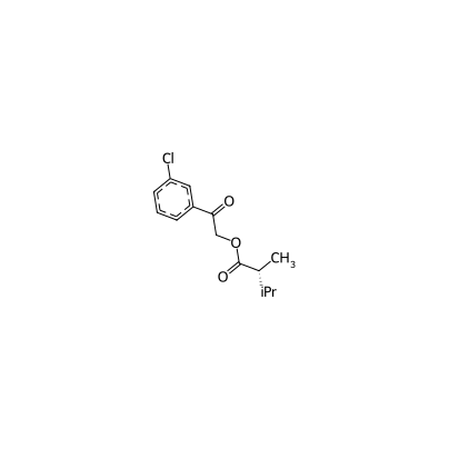 CC(C)[C@@H](C)C(=O)OCC(=O)c1cccc(Cl)c1